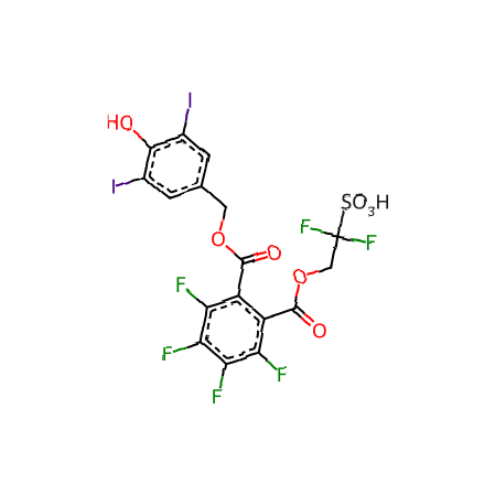 O=C(OCc1cc(I)c(O)c(I)c1)c1c(F)c(F)c(F)c(F)c1C(=O)OCC(F)(F)S(=O)(=O)O